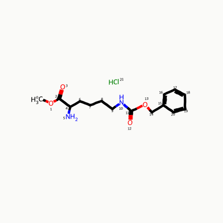 COC(=O)C(N)CCCCNC(=O)OCc1ccccc1.Cl